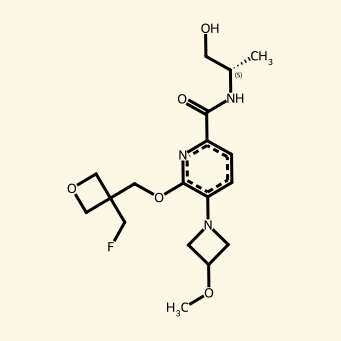 COC1CN(c2ccc(C(=O)N[C@@H](C)CO)nc2OCC2(CF)COC2)C1